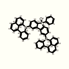 O=P1(c2ccccc2)c2ccc(N3c4ccccc4-c4cccc5cccc3c45)cc2-c2cc(N3c4ccccc4-c4cccc5cccc3c45)ccc21